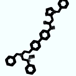 O=C(Cc1nccn1Cc1ccccc1)Nc1ccc(-c2ccc(CCN(Cc3ccccc3)C[C@H](O)c3ccccc3)cc2)cc1